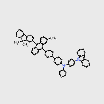 Cc1ccc2c(-c3ccc4c(c3)C(C)(C)C3=C4C=CCC3)c3ccccc3c(-c3ccc(-c4ccc(N(c5ccccc5)c5ccc(-n6c7ccccc7c7ccccc76)cc5)cc4)cc3)c2c1